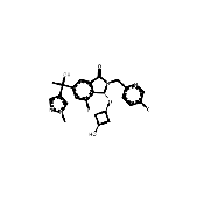 Cn1cc(C(C)(O)c2cc(F)c3c(c2)C(=O)N(Cc2ccc(Cl)cn2)[C@@H]3O[C@H]2C[C@@H](O)C2)cn1